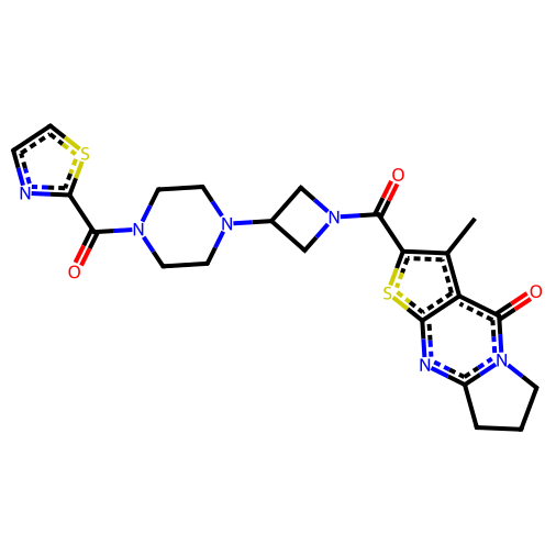 Cc1c(C(=O)N2CC(N3CCN(C(=O)c4nccs4)CC3)C2)sc2nc3n(c(=O)c12)CCC3